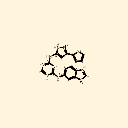 c1csc(-c2cc(Nc3ncnc(Nc4ccc5ncsc5c4)n3)[nH]n2)c1